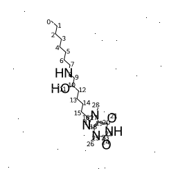 CCCCCCCCNCC(O)CCCCc1nc2c(c(=O)[nH]c(=O)n2C)n1C